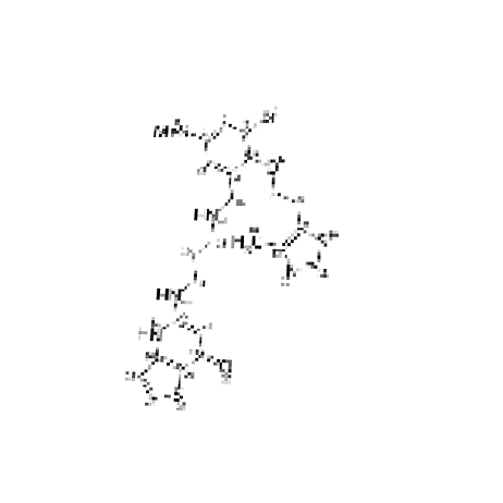 CSc1cc(Br)c(OCCc2scnc2C)c(CNCCCNc2cc(=O)c3sccc3[nH]2)c1